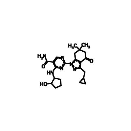 CC1(C)CC(=O)c2c(CC3CC3)nn(-c3ncc(C(N)=O)c(NC4CCCC4O)n3)c2C1